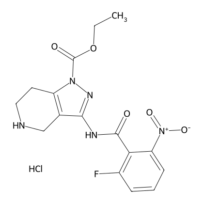 CCOC(=O)n1nc(NC(=O)c2c(F)cccc2[N+](=O)[O-])c2c1CCNC2.Cl